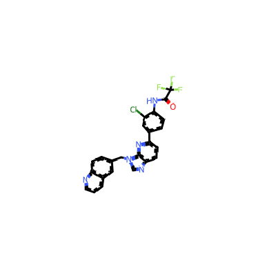 O=C(Nc1ccc(-c2ccc3ncn(Cc4ccc5ncccc5c4)c3n2)cc1Cl)C(F)(F)F